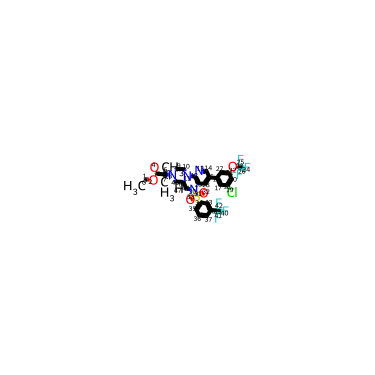 CCOC(=O)C(C)(C)N1CCN2c3ncc(-c4cc(Cl)cc(OC(F)(F)F)c4)cc3N(S(=O)(=O)c3cccc(C(F)(F)F)c3)C[C@@H]2C1